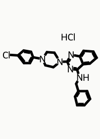 Cl.Clc1ccc(N2CCN(c3nc(NCc4ccccc4)c4ccccc4n3)CC2)cc1